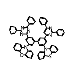 c1ccc(-c2cc(-c3cc(-c4cc(-c5nc(-c6ccccc6)nc(-c6ccccc6)n5)cc(N5c6ccccc6Oc6ccccc65)c4)cc(N4c5ccccc5Sc5ccccc54)c3)nc(-c3ccccc3)n2)cc1